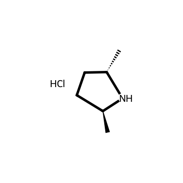 C[C@H]1CC[C@H](C)N1.Cl